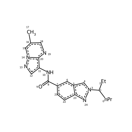 CCCC(CC)n1cc2cc(C(=O)Nc3cnn4cc(C)cnc34)ccc2n1